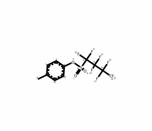 [CH2]c1ccc(OS(=O)(=O)C(F)(F)C(F)(F)C(F)(F)C(F)(F)F)cc1